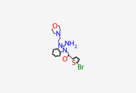 NC1N(CCN2CCOCC2)c2ccccc2N1CC(=O)c1ccc(Br)s1